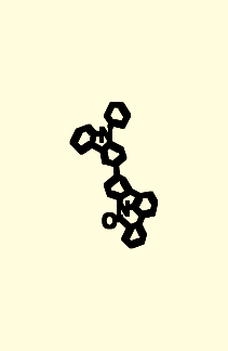 O=c1c2ccccc2c2cccc3c4cc(-c5ccc6c(c5)c5ccccc5n6C5=CC=CCC5)ccc4n1c23